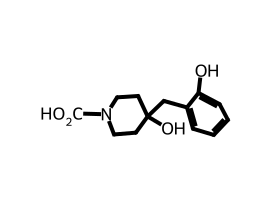 O=C(O)N1CCC(O)(Cc2ccccc2O)CC1